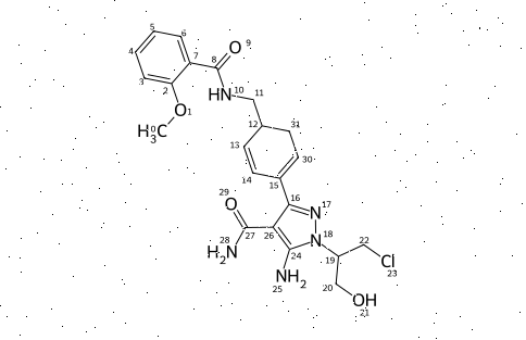 COc1ccccc1C(=O)NCC1C=CC(c2nn(C(CO)CCl)c(N)c2C(N)=O)=CC1